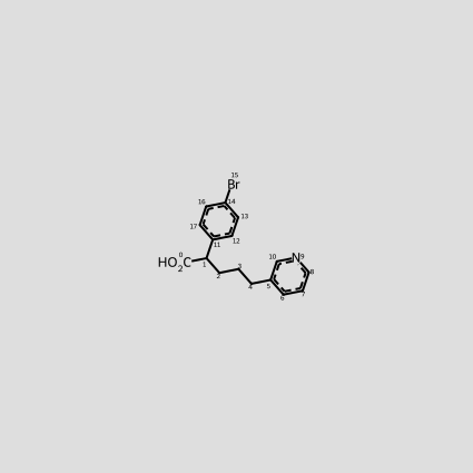 O=C(O)C(CCCc1cccnc1)c1ccc(Br)cc1